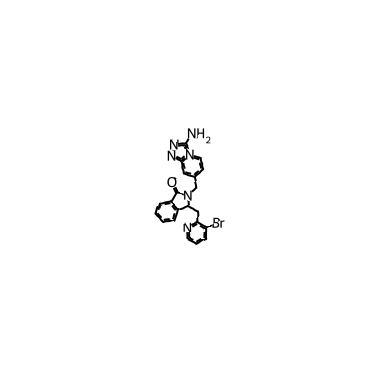 Nc1nnc2cc(CN3C(=O)c4ccccc4C3Cc3ncccc3Br)ccn12